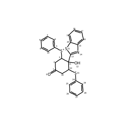 O=C1CC(Sc2ccccc2)C(O)(c2nc3ccccc3s2)C(Sc2ccccc2)C1